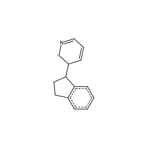 [C]1N=CC=CC1C1CCc2ccccc21